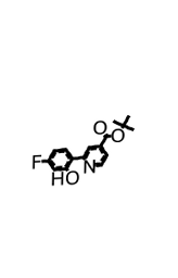 CC(C)(C)OC(=O)c1ccnc(-c2ccc(F)cc2O)c1